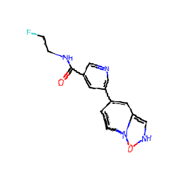 O=C(NCCF)c1cncc(C2=CC3=CNON3C=C2)c1